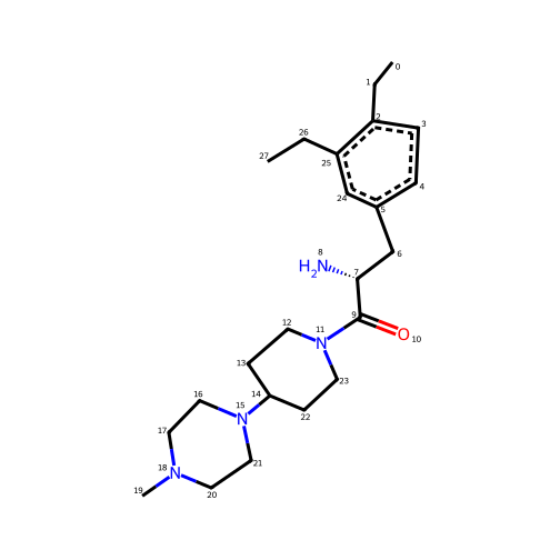 CCc1ccc(C[C@@H](N)C(=O)N2CCC(N3CCN(C)CC3)CC2)cc1CC